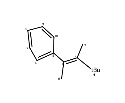 CC(=C(C)C(C)(C)C)c1ccccc1